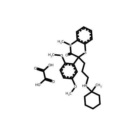 COc1ccc(OC)c(C2(CCCNC3(C)CCCCC3)Sc3ccccc3N(C)C2=O)c1.O=C(O)C(=O)O